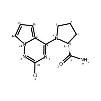 NC(=O)[C@H]1CCCN1c1nc(Cl)nn2cccc12